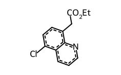 CCOC(=O)Cc1ccc(Cl)c2cccnc12